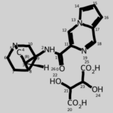 O=C(N[C@H]1CN2CCC1CC2)c1cn2cccc2cn1.O=C(O)C(O)C(O)C(=O)O